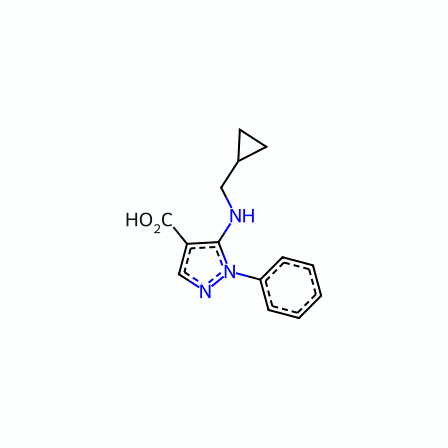 O=C(O)c1cnn(-c2ccccc2)c1NCC1CC1